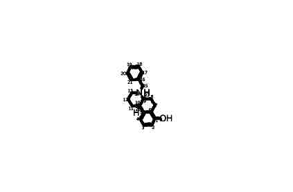 Oc1cccc2c1CC[C@H]1[C@H]2CCCN1Cc1ccccc1